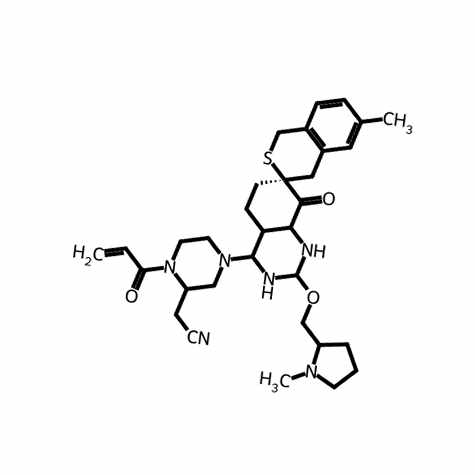 C=CC(=O)N1CCN(C2NC(OCC3CCCN3C)NC3C(=O)[C@]4(CCC32)Cc2cc(C)ccc2CS4)CC1CC#N